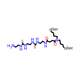 CCCCCCCCCCCCCCN(CCCCCCCCCCCCCC)C(=O)CCC(=O)NCCNC(=S)NCCNC(=S)NCCN